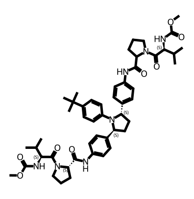 COC(=O)N[C@H](C(=O)N1CCCC1C(=O)Nc1ccc([C@@H]2CC[C@@H](c3ccc(NC(=O)[C@@H]4CCCN4C(=O)[C@@H](NC(=O)OC)C(C)C)cc3)N2c2ccc(C(C)(C)C)cc2)cc1)C(C)C